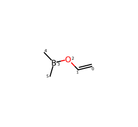 C=COB(C)C